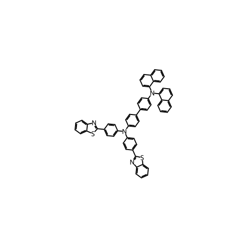 c1ccc2c(N(c3ccc(-c4ccc(N(c5ccc(-c6nc7ccccc7s6)cc5)c5ccc(-c6nc7ccccc7s6)cc5)cc4)cc3)c3cccc4ccccc34)cccc2c1